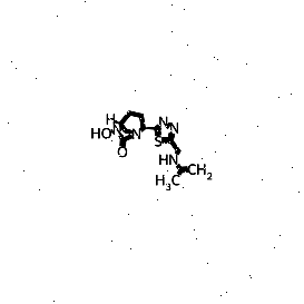 C=C(C)NCc1nnc([C@@H]2CC[C@@H]3CN2C(=O)N3O)s1